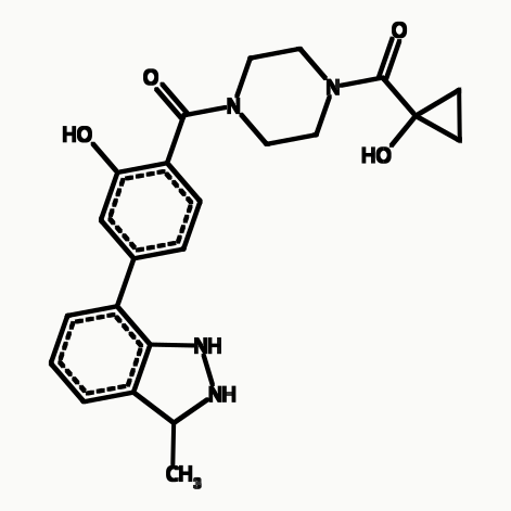 CC1NNc2c(-c3ccc(C(=O)N4CCN(C(=O)C5(O)CC5)CC4)c(O)c3)cccc21